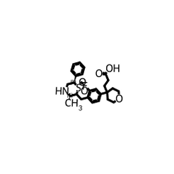 C[C@@H]1NC[C@@H](c2ccccc2)S(=O)(=O)C1Cc1ccc(C2(CCC(=O)O)CCOCC2)cc1F